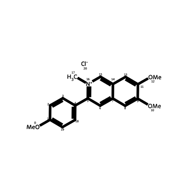 COc1ccc(-c2cc3cc(OC)c(OC)cc3c[n+]2C)cc1.[Cl-]